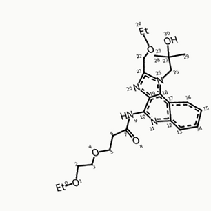 CCOCCOCCC(=O)Nc1nc2ccccc2c2c1nc(COCC)n2CC(C)(C)O